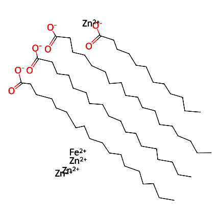 CCCCCCCCCCCC(=O)[O-].CCCCCCCCCCCCCCCCCC(=O)[O-].CCCCCCCCCCCCCCCCCC(=O)[O-].CCCCCCCCCCCCCCCCCC(=O)[O-].[Fe+2].[Zn+2].[Zn+2].[Zn+2].[Zn+2]